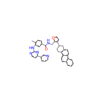 Cc1ccc(C(=O)NCc2occc2C2CCc3c(ccc4c3ccc3ccccc34)C2)cc1Nc1nccc(-c2cccnc2)n1